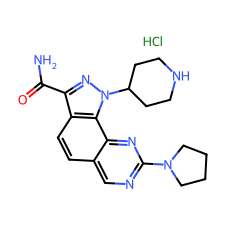 Cl.NC(=O)c1nn(C2CCNCC2)c2c1ccc1cnc(N3CCCC3)nc12